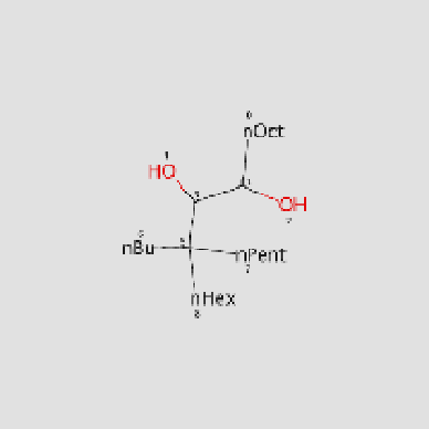 CCCCCCCCC(O)C(O)C(CCCC)(CCCCC)CCCCCC